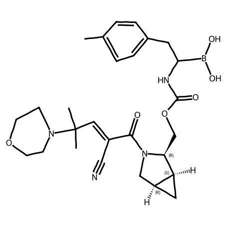 Cc1ccc(CC(NC(=O)OC[C@H]2[C@H]3C[C@H]3CN2C(=O)C(C#N)=CC(C)(C)N2CCOCC2)B(O)O)cc1